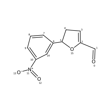 O=CC1=CCC(c2cccc([N+](=O)[O-])c2)O1